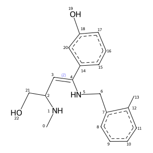 CNC(/C=C(\NCc1ccccc1C)c1cccc(O)c1)CO